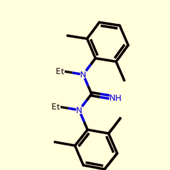 CCN(C(=N)N(CC)c1c(C)cccc1C)c1c(C)cccc1C